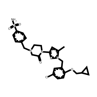 Cc1cc(N2CCN(Cc3ccc(S(N)(=O)=O)cc3)CC2=O)nn1Cc1cc(Cl)ccc1OCC1CC1